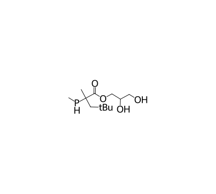 CPC(C)(CC(C)(C)C)C(=O)OCC(O)CO